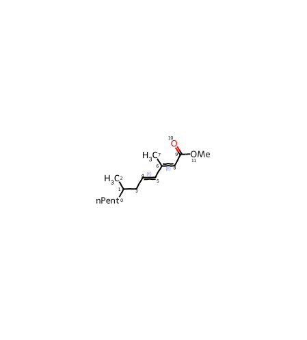 CCCCCC(C)C/C=C/C(C)=C/C(=O)OC